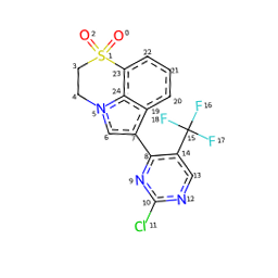 O=S1(=O)CCn2cc(-c3nc(Cl)ncc3C(F)(F)F)c3cccc1c32